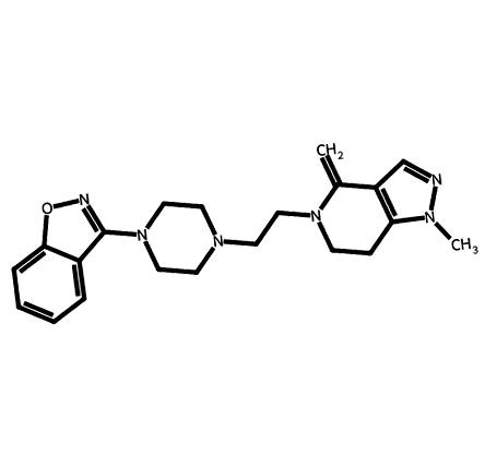 C=C1c2cnn(C)c2CCN1CCN1CCN(c2noc3ccccc23)CC1